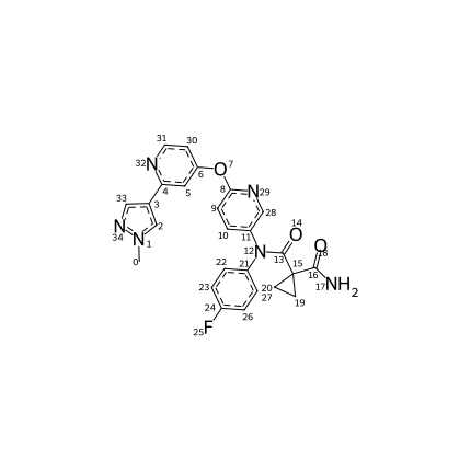 Cn1cc(-c2cc(Oc3ccc(N(C(=O)C4(C(N)=O)CC4)c4ccc(F)cc4)cn3)ccn2)cn1